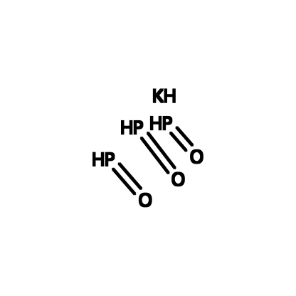 O=P.O=P.O=P.[KH]